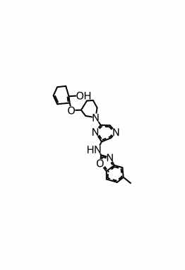 Cc1ccc2oc(Nc3cncc(N4CCCC(OC5=C(O)CCC=C5)C4)n3)nc2c1